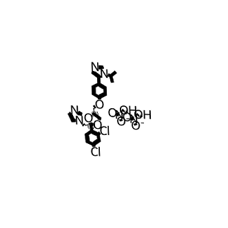 CC(C)n1cncc1-c1ccc(OC[C@@H]2CO[C@@](Cn3ccnc3)(c3ccc(Cl)cc3Cl)O2)cc1.O=[N+]([O-])O.O=[N+]([O-])O